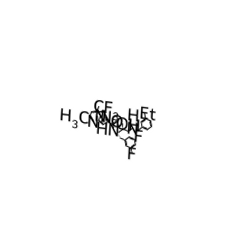 CCc1cccc(CNC[C@H](O)[C@H](Cc2cc(F)cc(F)c2)NC(=O)c2cc3nc(C)cc(C(F)(F)F)n3n2)c1